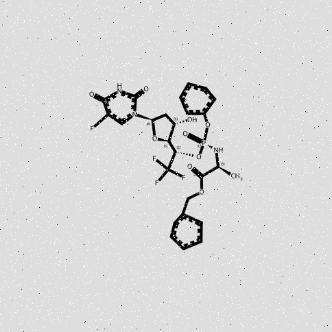 C[C@H](N[P@](=O)(Oc1ccccc1)O[C@@H]([C@H]1O[C@@H](n2cc(F)c(=O)[nH]c2=O)C[C@@H]1O)C(F)(F)F)C(=O)OCc1ccccc1